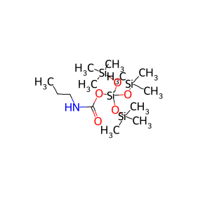 CCCNC(=O)O[Si](O[Si](C)(C)C)(O[Si](C)(C)C)O[Si](C)(C)C